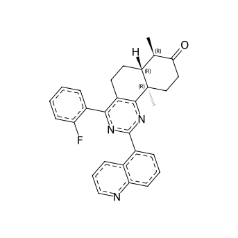 C[C@H]1C(=O)CC[C@@]2(C)c3nc(-c4cccc5ncccc45)nc(-c4ccccc4F)c3CC[C@H]12